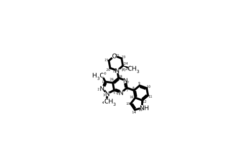 Cc1nn(C)c2nc(-c3cccc4[nH]ccc34)nc(N3CCOC[C@H]3C)c12